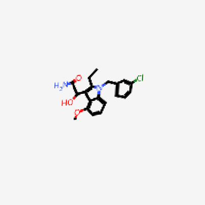 CCc1c(C(O)C(N)=O)c2c(OC)cccc2n1Cc1cccc(Cl)c1